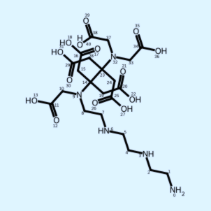 NCCNCCNCCN(CC(=O)O)C(CC(=O)O)(CC(=O)O)C(CC(=O)O)(CC(=O)O)N(CC(=O)O)CC(=O)O